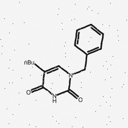 CCCCc1cn(Cc2ccccc2)c(=O)[nH]c1=O